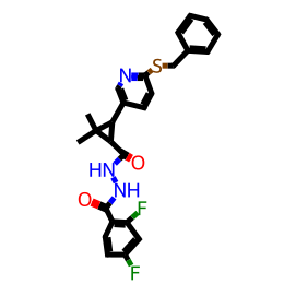 CC1(C)C(C(=O)NNC(=O)c2ccc(F)cc2F)C1c1ccc(SCc2ccccc2)nc1